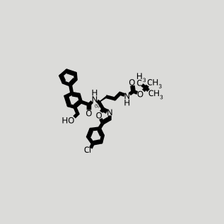 CC(C)(C)OC(=O)NCCC[C@H](NC(=O)c1cc(-c2ccccc2)ccc1CO)c1ncc(-c2ccc(Cl)cc2)o1